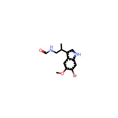 COc1cc2c(C(C)CNC=O)c[nH]c2cc1Br